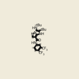 CC(C)(C)Nc1c(C(C)(C)C)[nH]c2c(C(=O)Nc3ccc(C(F)(F)F)c(C(F)(F)F)c3)cnn12